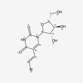 O=c1[nH]c(=O)n(C2O[C@H](CO)[C@@H](O)[C@@H]2O)cc1/C=C/Br